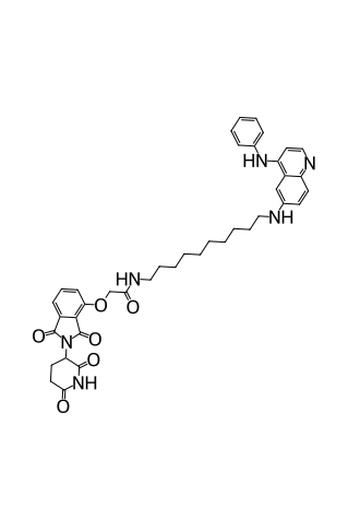 O=C(COc1cccc2c1C(=O)N(C1CCC(=O)NC1=O)C2=O)NCCCCCCCCCCNc1ccc2nccc(Nc3ccccc3)c2c1